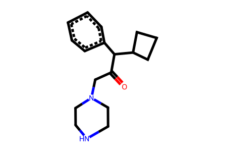 O=C(CN1CCNCC1)C(c1ccccc1)C1CCC1